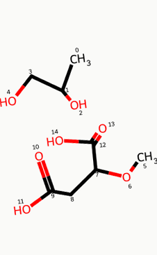 CC(O)CO.COC(CC(=O)O)C(=O)O